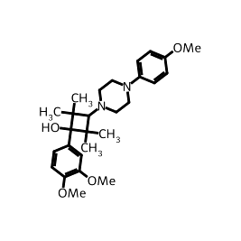 COc1ccc(N2CCN(C3C(C)(C)C(O)(c4ccc(OC)c(OC)c4)C3(C)C)CC2)cc1